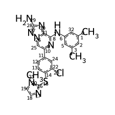 Cc1cc(C)cc(Nc2nc(-c3ccc(Sc4nccn4C)c(Cl)c3)cn3nc(N)nc23)c1